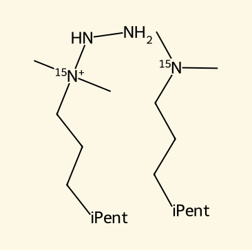 CCCC(C)CCC[15N+](C)(C)NN.CCCC(C)CCC[15N](C)C